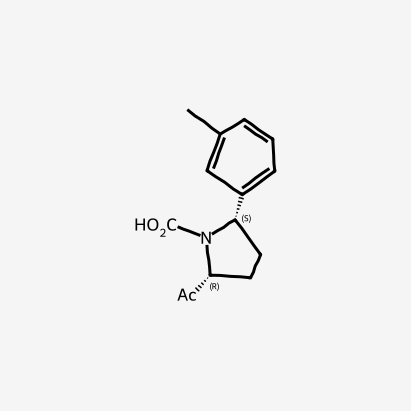 CC(=O)[C@H]1CC[C@@H](c2cccc(C)c2)N1C(=O)O